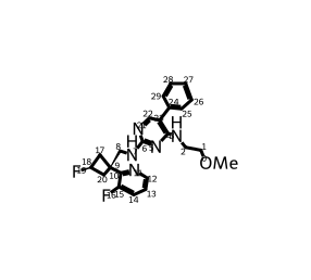 COCCNc1nc(NC[C@]2(c3ncccc3F)C[C@H](F)C2)ncc1-c1ccccc1